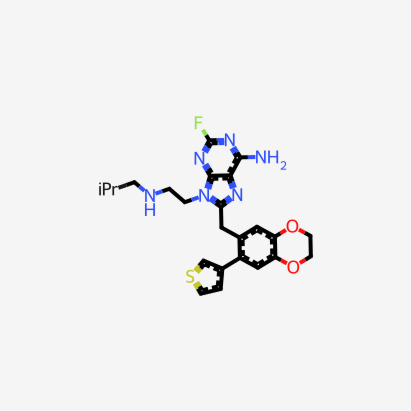 CC(C)CNCCn1c(Cc2cc3c(cc2-c2ccsc2)OCCO3)nc2c(N)nc(F)nc21